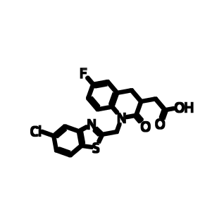 O=C(O)CC1Cc2cc(F)ccc2N(Cc2nc3cc(Cl)ccc3s2)C1=O